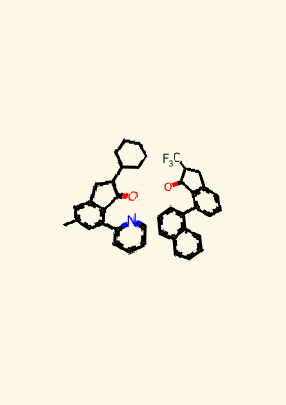 Cc1cc2c(c(-c3ccccn3)c1)C(=O)C(C1CCCCC1)C2.O=C1c2c(cccc2-c2cccc3ccccc23)CC1C(F)(F)F